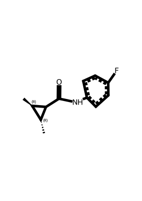 C[C@H]1C(C(=O)Nc2ccc(F)cc2)[C@@H]1C